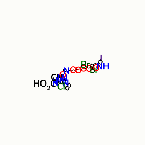 N#CCC1CN(c2nc(OCC3CCCN3CCCOCCOCCOCCOc3c(Br)cc(C=C4C(=O)Nc5ccc(I)cc54)cc3Br)nc3c2CCN(c2cccc4cccc(Cl)c24)C3)CCN1C(=O)O